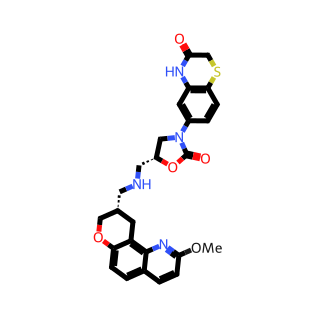 COc1ccc2ccc3c(c2n1)C[C@@H](CNC[C@@H]1CN(c2ccc4c(c2)NC(=O)CS4)C(=O)O1)CO3